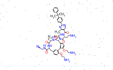 Cc1nc(-c2ccc(C(C)(C)c3ccccc3)cc2)ncc1C(=O)NC(CCN)C(=O)N(C)C1C(=O)NC(C)C(=O)NC(C(=O)NCC#N)Cc2ccc(OCCN)c(c2)-c2cc1ccc2OCCN